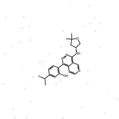 CC1(C)C[C@H](Nc2nnc(-c3ccc(C(F)F)cc3O)c3ccncc23)CO1